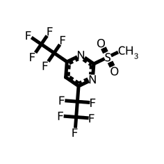 CS(=O)(=O)c1nc(C(F)(F)C(F)(F)F)cc(C(F)(F)C(F)(F)F)n1